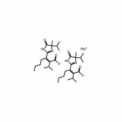 CCCCC(C1=NC(C)(C(C)C)C(=O)N1)=C(C(=O)[O-])C(C)C.CCCCC(C1=NC(C)(C(C)C)C(=O)N1)=C(C(=O)[O-])C(C)C.[Mg+2]